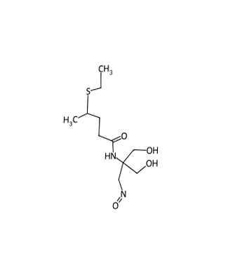 CCSC(C)CCC(=O)NC(CO)(CO)CN=O